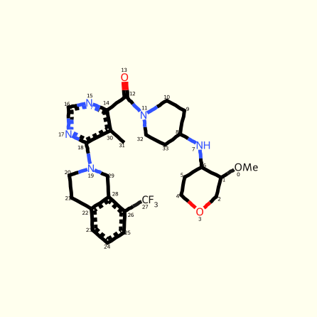 COC1COCCC1NC1CCN(C(=O)c2ncnc(N3CCc4cccc(C(F)(F)F)c4C3)c2C)CC1